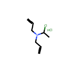 C=CCN(CC=C)C(C)Cl.Cl